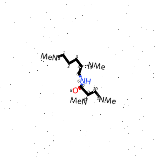 CNCCC[C@@H](CNC(=O)[C@H](CNC)NC)NC